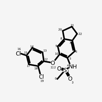 CS(=O)(=O)Nc1cc2c(cc1Oc1ccc(Cl)cc1Cl)CCC2